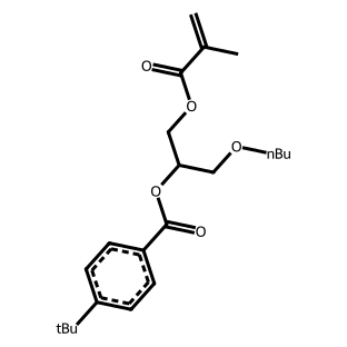 C=C(C)C(=O)OCC(COCCCC)OC(=O)c1ccc(C(C)(C)C)cc1